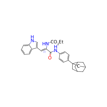 CCOC(=O)N/C(=C\c1c[nH]c2ccccc12)C(=O)Nc1ccc(C23CC4CC(CC2C4)C3)cc1